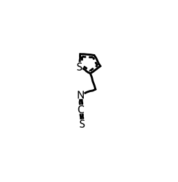 S=C=NCc1cccs1